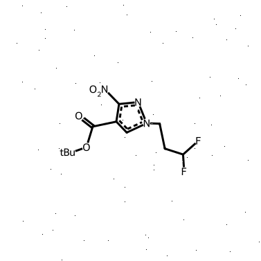 CC(C)(C)OC(=O)c1cn(CCC(F)F)nc1[N+](=O)[O-]